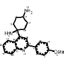 COc1ccc(-c2cc(C3(N)CCC(N)CC3)c3ccccc3n2)cc1